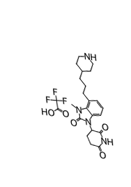 Cn1c(=O)n(C2CCC(=O)NC2=O)c2cccc(CCCC3CCNCC3)c21.O=C(O)C(F)(F)F